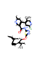 C\C=C(/C=C\C(COc1nnc(NC(=O)c2cnc(C)cc2-c2cc(Cl)ncc2OC)s1)=C(\C)CC)C(C)=O